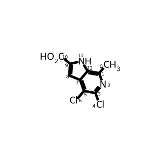 Cc1nc(Cl)c(Cl)c2cc(C(=O)O)[nH]c12